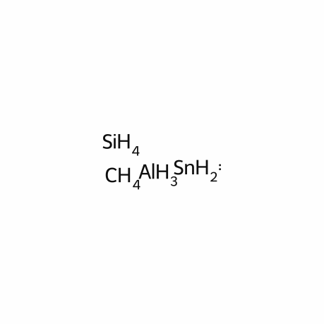 C.[AlH3].[SiH4].[SnH2]